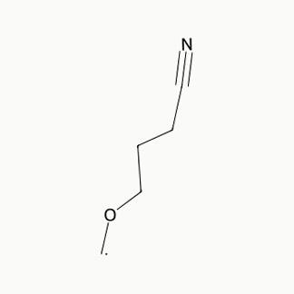 [CH2]OCCCC#N